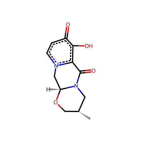 C[C@@H]1CO[C@H]2Cn3ccc(=O)c(O)c3C(=O)N2C1